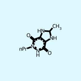 CCCn1[nH]c(=O)c2c(c1=O)NC(C)N2